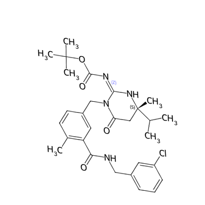 Cc1ccc(CN2C(=O)C[C@@](C)(C(C)C)N/C2=N/C(=O)OC(C)(C)C)cc1C(=O)NCc1cccc(Cl)c1